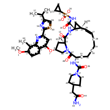 COc1ccc2c(O[C@@H]3C[C@H]4C(=O)N[C@]5(C(=O)NS(=O)(=O)C6CC6)C[C@H]5/C=C\CCCCC[C@H](NC(=O)N5CCC(CC(N)=O)CC5)C(=O)N4C3)cc(-c3nc(C(C)C)cs3)nc2c1C